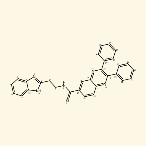 O=C(NCCc1nc2ccccc2[nH]1)c1ccc2nc(-c3ccccc3)c(-c3ccccc3)nc2c1